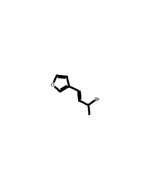 CC(Br)C=Cc1ccoc1